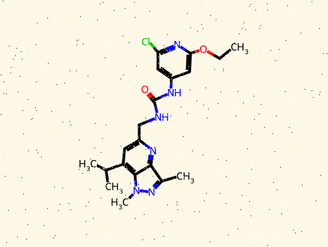 CCOc1cc(NC(=O)NCc2cc(C(C)C)c3c(n2)c(C)nn3C)cc(Cl)n1